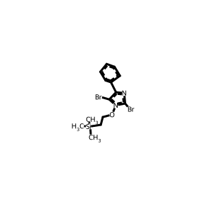 C[Si](C)(C)CCOn1c(Br)nc(-c2ccccc2)c1Br